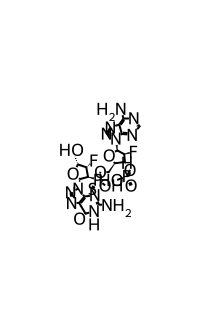 Nc1nc2c(nnn2[C@@H]2O[C@H](CO)[C@H](F)[C@H]2P(O)(=S)OC[C@H]2O[C@@H](n3nnc4c(N)ncnc43)[C@@H](F)[C@@H]2O[PH](=O)O)c(=O)[nH]1